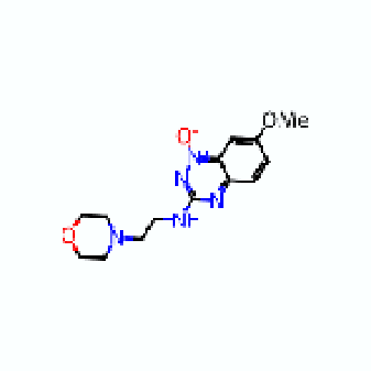 COc1ccc2nc(NCCN3CCOCC3)n[n+]([O-])c2c1